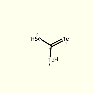 [SeH]C(=[Te])[TeH]